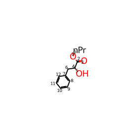 CCCOC(=O)C(O)Cc1ccccc1